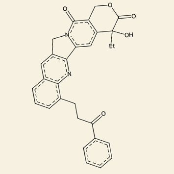 CCC1(O)C(=O)OCc2c1cc1n(c2=O)Cc2cc3cccc(CCC(=O)c4ccccc4)c3nc2-1